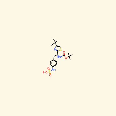 CC(C)(C)OC(=O)NC(Cc1ccc(NS(=O)(=O)O)cc1)c1nc(C(C)(C)C)cs1